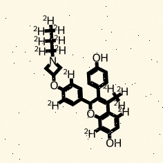 [2H]c1cc(C2Oc3c([2H])c(O)cc([2H])c3C(C([2H])([2H])[2H])=C2c2ccc(O)cc2)cc([2H])c1OC1CN(C([2H])([2H])C([2H])([2H])C([2H])([2H])[2H])C1